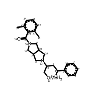 COCC(CC(N)c1ccccc1)N1CC2CN(C(=O)c3c(C)cccc3C)CC2C1